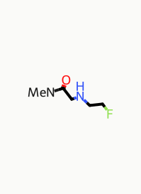 CNC(=O)CNCCF